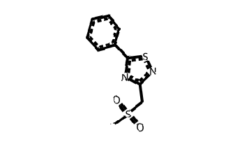 [CH2]S(=O)(=O)Cc1nsc(-c2ccccc2)n1